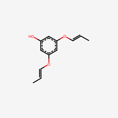 CC=COc1cc(O)cc(OC=CC)c1